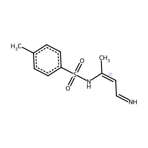 C/C(=C/C=N)NS(=O)(=O)c1ccc(C)cc1